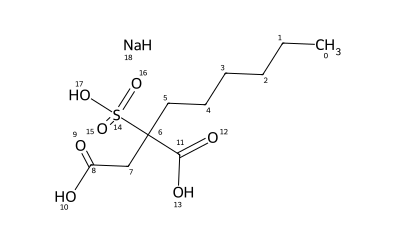 CCCCCCC(CC(=O)O)(C(=O)O)S(=O)(=O)O.[NaH]